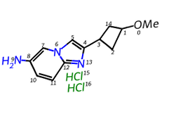 COC1CC(c2cn3cc(N)ccc3n2)C1.Cl.Cl